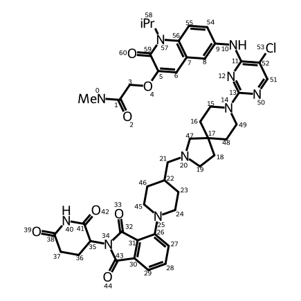 CNC(=O)COc1cc2cc(Nc3nc(N4CCC5(CCN(CC6CCN(c7cccc8c7C(=O)N(C7CCC(=O)NC7=O)C8=O)CC6)C5)CC4)ncc3Cl)ccc2n(C(C)C)c1=O